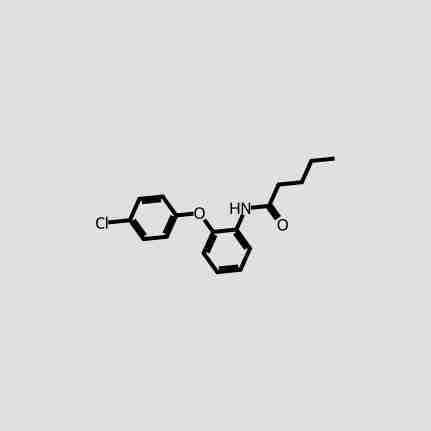 CCCCC(=O)Nc1ccccc1Oc1ccc(Cl)cc1